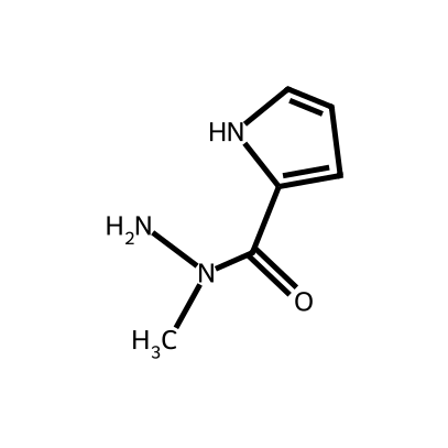 CN(N)C(=O)c1ccc[nH]1